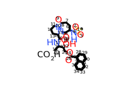 CS(=O)(=O)NC1CCC(=O)N2CCCC(C(=O)NC(CC(=O)O)C(O)COC(=O)c3cccc4ccccc34)N2C1=O